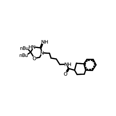 CCCCC1(CCCC)NC(=N)N(CCCCNC(=O)C2CCc3ccccc3C2)CO1